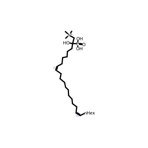 CCCCCC/C=C\CCCCCCCCC/C=C\CCCCCC(O)(C[N+](C)(C)C)P(=O)(O)O